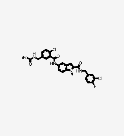 CC(C)C(=O)NCc1ccc(Cl)c(C(=O)Nc2ccc3c(c2)cc(C(=O)NCc2ccc(F)c(Cl)c2)n3C)c1